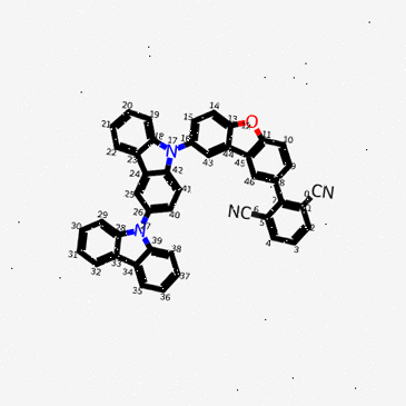 N#Cc1cccc(C#N)c1-c1ccc2oc3ccc(-n4c5ccccc5c5cc(-n6c7ccccc7c7ccccc76)ccc54)cc3c2c1